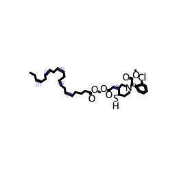 CC/C=C\C/C=C\C/C=C\C/C=C\C/C=C\CCCC(=O)OCOC(=O)/C=C1/CN([C@H](C(=O)OC)c2ccccc2Cl)CCC1S